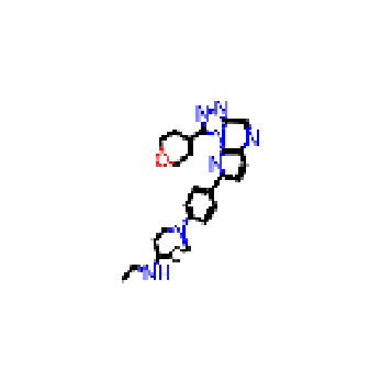 CCNC1CCN(c2ccc(-c3ccc4ncc5nnc(C6CCOCC6)n5c4n3)cc2)CC1